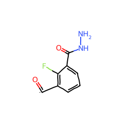 NNC(=O)c1cccc([C]=O)c1F